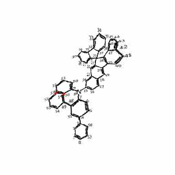 c1ccc(-c2ccc(N(c3ccccc3)c3ccc4cc5c(cc4c3)C3(c4ccccc4-c4ccccc43)c3c-5ccc4ccccc34)c(-c3ccccc3)c2)cc1